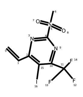 C=Cc1nc(S(C)(=O)=O)nc(C(F)(F)F)c1I